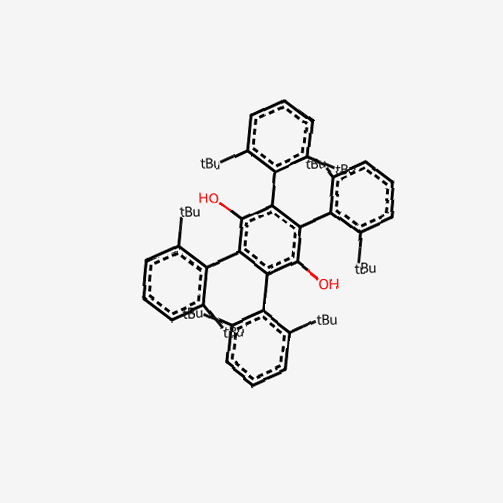 CC(C)(C)c1cccc(C(C)(C)C)c1-c1c(O)c(-c2c(C(C)(C)C)cccc2C(C)(C)C)c(-c2c(C(C)(C)C)cccc2C(C)(C)C)c(O)c1-c1c(C(C)(C)C)cccc1C(C)(C)C